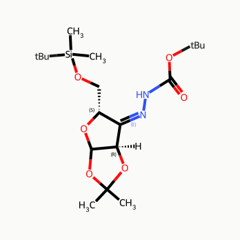 CC(C)(C)OC(=O)N/N=C1/[C@H]2OC(C)(C)OC2O[C@@H]1CO[Si](C)(C)C(C)(C)C